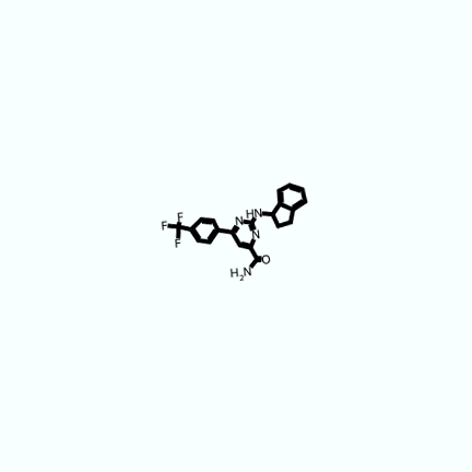 NC(=O)c1cc(-c2ccc(C(F)(F)F)cc2)nc(NC2CCc3ccccc32)n1